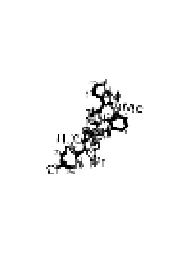 COc1cccc(OC)c1-n1c(NS(=O)(=O)[C@@H](C)[C@@H](OC(C)C)c2ncc(Cl)cn2)nnc1-c1cnn2c1CCC2